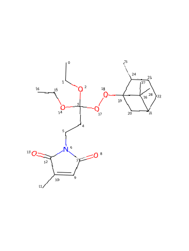 CCOC(CCN1C(=O)C=C(C)C1=O)(OCC)OOC12CC(CCC1C)C2(C)C